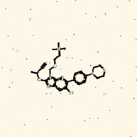 C#CC(C)Oc1nc2cc(Cl)c(-c3ccc(N4CCOCC4)cc3)nc2n1COCC[Si](C)(C)C